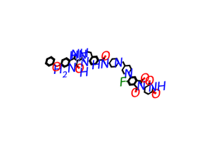 N=C(/C(C(N)=O)=C1\NCCc2cc(C(=O)NC3CCN(CC4CCN(c5cc6c(cc5F)C(=O)N(C5CCC(=O)NC5=O)C6=O)CC4)CC3)ccc2N1)c1ccc(Oc2ccccc2)cc1